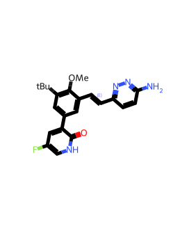 COc1c(/C=C/c2ccc(N)nn2)cc(-c2cc(F)c[nH]c2=O)cc1C(C)(C)C